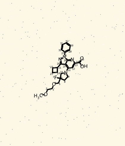 COCCOCC1(F)CCN(c2cc(C(=O)O)nc3c2c(C2CCC2)nn3-c2ccccc2)C1